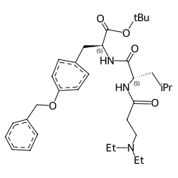 CCN(CC)CCC(=O)N[C@@H](CC(C)C)C(=O)N[C@@H](Cc1ccc(OCc2ccccc2)cc1)C(=O)OC(C)(C)C